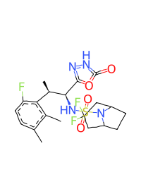 Cc1ccc(F)c([C@@H](C)[C@H](NS(=O)(=O)N2C3CCC2CC(F)(F)C3)c2n[nH]c(=O)o2)c1C